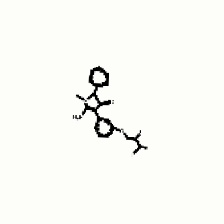 CN1C(N)=C(c2cccc(OCC(F)C(F)F)c2)C(=O)C1c1ccccc1